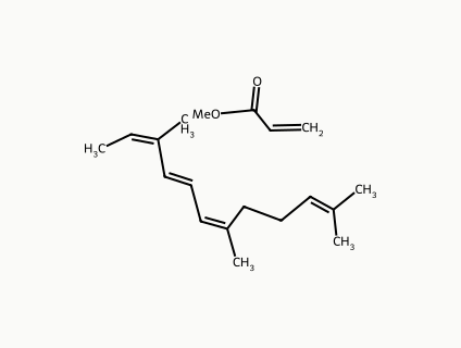 C=CC(=O)OC.CC=C(C)C=CC=C(C)CCC=C(C)C